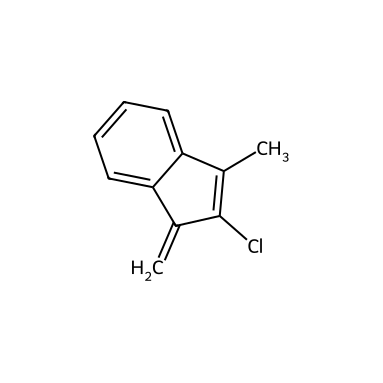 C=C1C(Cl)=C(C)c2ccccc21